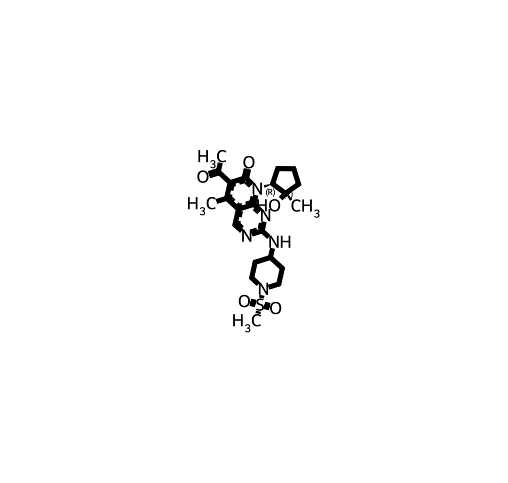 CC(=O)c1c(C)c2cnc(NC3CCN(S(C)(=O)=O)CC3)nc2n([C@@H]2CCC[C@@]2(C)O)c1=O